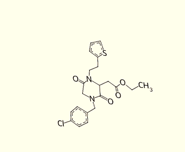 CCOC(=O)CC1C(=O)N(Cc2ccc(Cl)cc2)CC(=O)N1CCc1cccs1